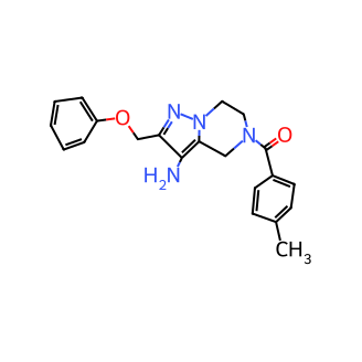 Cc1ccc(C(=O)N2CCn3nc(COc4ccccc4)c(N)c3C2)cc1